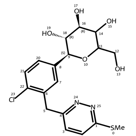 CSc1ccc(Cc2cc([C@@H]3OC(CO)C(O)[C@H](O)[C@H]3O)ccc2Cl)nn1